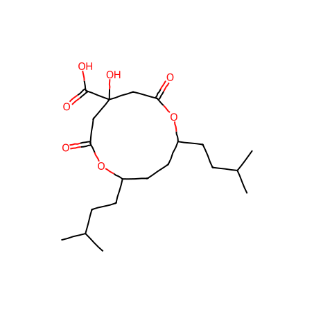 CC(C)CCC1CCC(CCC(C)C)OC(=O)CC(O)(C(=O)O)CC(=O)O1